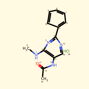 CNc1nc(-c2ccccc2)ncc1NC(C)=O.Cl